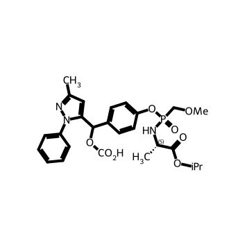 COCP(=O)(N[C@@H](C)C(=O)OC(C)C)Oc1ccc(C(OC(=O)O)c2cc(C)nn2-c2ccccc2)cc1